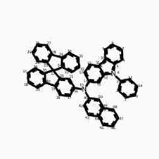 c1ccc(-n2c3ccccc3c3ccc(N(c4ccc5c(c4)C4(c6ccccc6-c6ccccc64)c4ccccc4-5)c4ccc5ccccc5c4)cc32)cc1